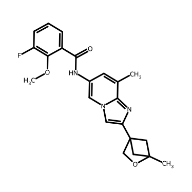 COc1c(F)cccc1C(=O)Nc1cc(C)c2nc(C34COC(C)(C3)C4)cn2c1